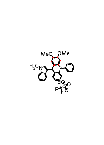 COc1ccc(C(c2ccccc2P(c2ccccc2)c2ccccc2)c2cn(C)c3ccccc23)cc1OC.O=S(=O)(O)C(F)(F)F